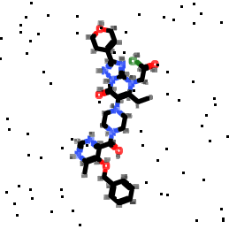 CCc1c(N2CCN(C(=O)c3ncnc(C)c3OCc3ccccc3)CC2)c(=O)n2nc(C3=CCOCC3)nc2n1CC(=O)Cl